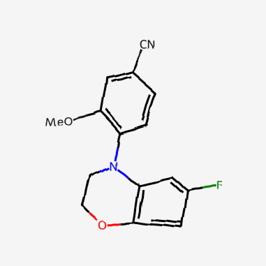 COc1cc(C#N)ccc1N1CCOc2ccc(F)cc21